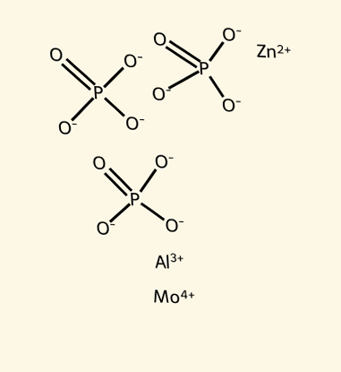 O=P([O-])([O-])[O-].O=P([O-])([O-])[O-].O=P([O-])([O-])[O-].[Al+3].[Mo+4].[Zn+2]